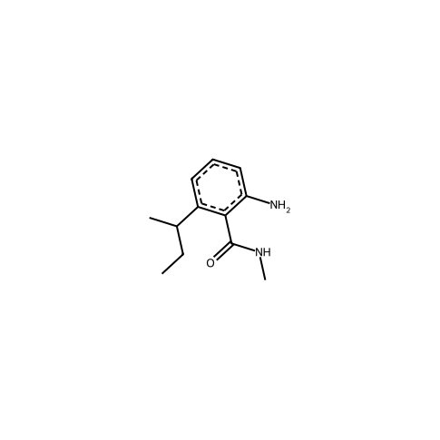 CCC(C)c1cccc(N)c1C(=O)NC